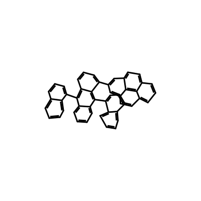 c1ccc2c(-c3c4ccccc4c(-c4cccc5ccccc45)c4c(-c5cc6ccc7cccc8ccc(c5)c6c78)cccc34)cccc2c1